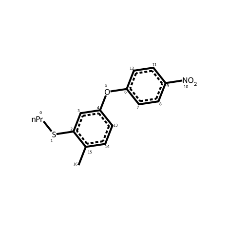 CCCSc1cc(Oc2ccc([N+](=O)[O-])cc2)ccc1C